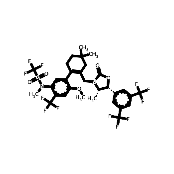 COc1cc(C(F)(F)F)c(N(C)S(=O)(=O)C(F)(F)F)cc1C1=C(CN2C(=O)O[C@H](c3cc(C(F)(F)F)cc(C(F)(F)F)c3)[C@@H]2C)CC(C)(C)CC1